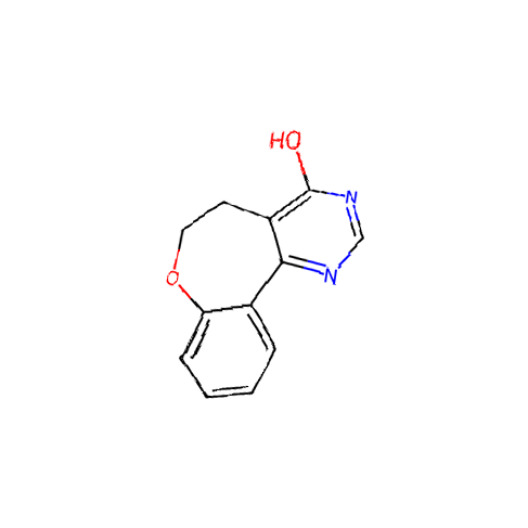 Oc1ncnc2c1CCOc1ccccc1-2